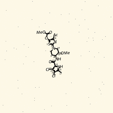 COC(=O)Oc1sc(N2CC[C@@H](NC(=O)c3[nH]c(C)c(Cl)c3Cl)[C@@H](OC)C2)nc1C(C)=O